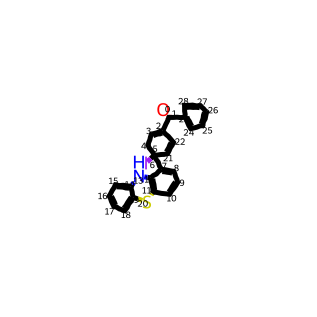 O=C(C1=CCC(I)(c2cccc3c2Nc2ccccc2S3)C=C1)c1ccccc1